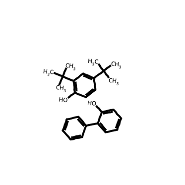 CC(C)(C)c1ccc(O)c(C(C)(C)C)c1.Oc1ccccc1-c1ccccc1